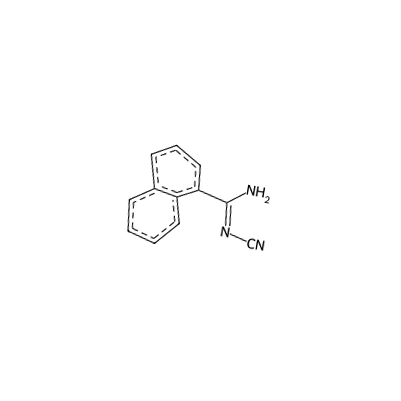 N#CN=C(N)c1cccc2ccccc12